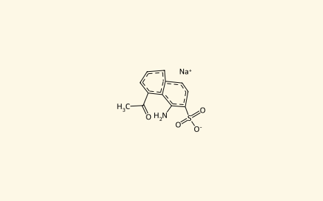 CC(=O)c1cccc2ccc(S(=O)(=O)[O-])c(N)c12.[Na+]